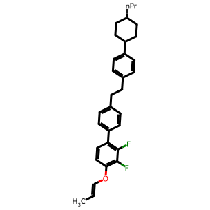 C/C=C/Oc1ccc(-c2ccc(CCc3ccc(C4CCC(CCC)CC4)cc3)cc2)c(F)c1F